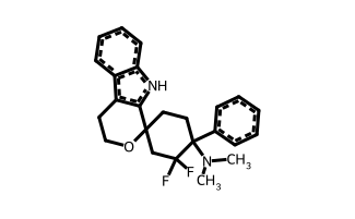 CN(C)C1(c2ccccc2)CCC2(CC1(F)F)OCCc1c2[nH]c2ccccc12